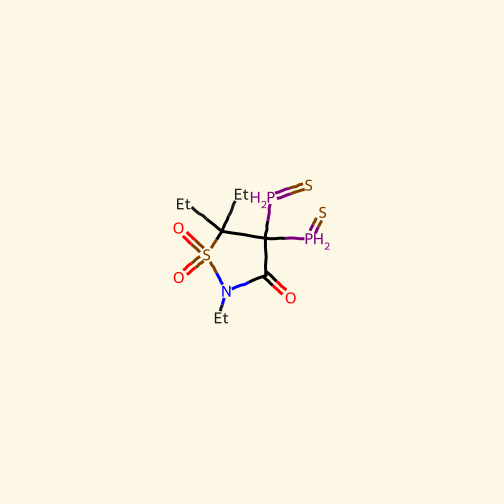 CCN1C(=O)C([PH2]=S)([PH2]=S)C(CC)(CC)S1(=O)=O